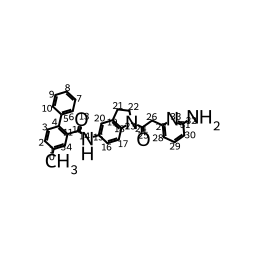 Cc1ccc(-c2ccccc2)c(C(=O)Nc2ccc3c(c2)CCN3C(=O)Cc2cccc(N)n2)c1